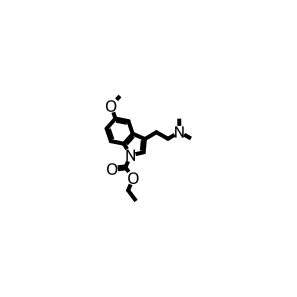 CCOC(=O)n1cc(CCN(C)C)c2cc(OC)ccc21